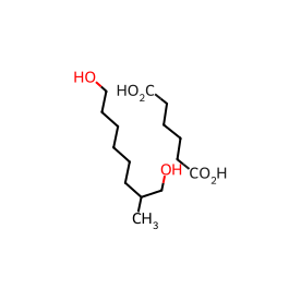 CC(CO)CCCCCCO.O=C(O)CCCCC(=O)O